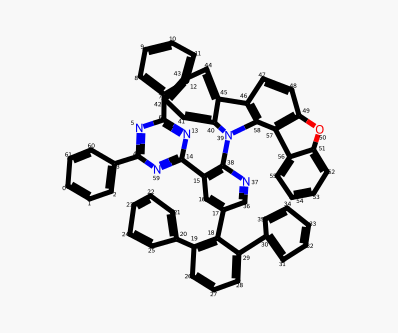 c1ccc(-c2nc(-c3ccccc3)nc(-c3cc(-c4c(-c5ccccc5)cccc4-c4ccccc4)cnc3-n3c4ccccc4c4ccc5oc6ccccc6c5c43)n2)cc1